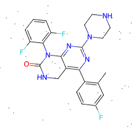 Cc1cc(F)ccc1-c1nc(N2CCNCC2)nc2c1CNC(=O)N2c1c(F)cccc1F